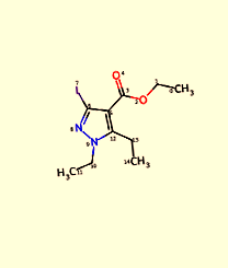 CCOC(=O)c1c(I)nn(CC)c1CC